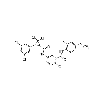 Cc1cc(CC(F)(F)F)ccc1NC(=O)c1cc(NC(=O)C2C(c3cc(Cl)cc(Cl)c3)C2(Cl)Cl)ccc1Cl